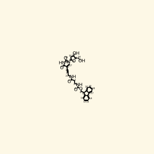 O=C(CCNC(=O)OCC1c2ccccc2-c2ccccc21)NCC#Cc1cn([C@H]2C[C@H](O)[C@@H](CO)O2)c(=O)[nH]c1=O